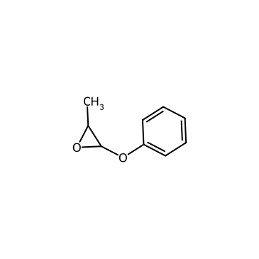 CC1OC1Oc1ccccc1